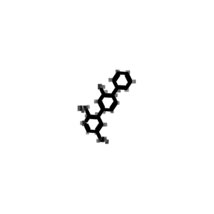 Nc1cnc(N)c(-c2ccc(-c3ccccc3)c(F)c2)c1